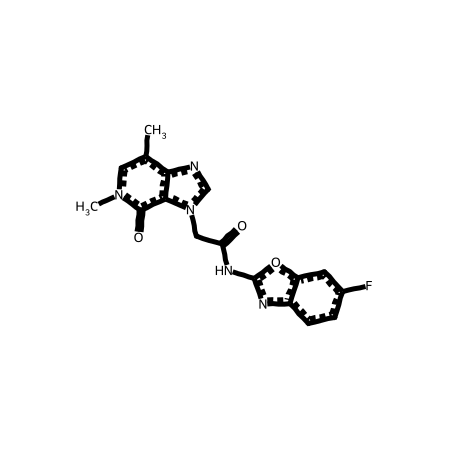 Cc1cn(C)c(=O)c2c1ncn2CC(=O)Nc1nc2ccc(F)cc2o1